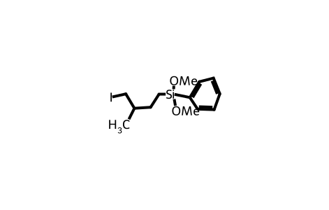 CO[Si](CCC(C)CI)(OC)c1ccccc1